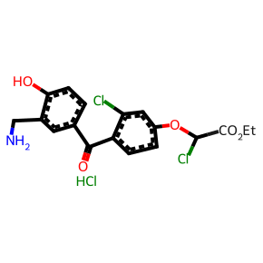 CCOC(=O)C(Cl)Oc1ccc(C(=O)c2ccc(O)c(CN)c2)c(Cl)c1.Cl